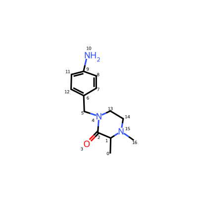 CC1C(=O)N(Cc2ccc(N)cc2)CCN1C